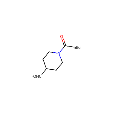 CCCCC(=O)N1CCC([C]=O)CC1